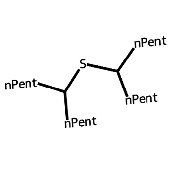 CCCCCC(CCCCC)SC(CCCCC)CCCCC